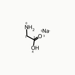 NCC(=O)O.[Na]